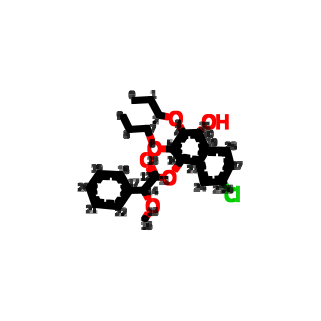 CCCOc1c(OCCC)c(OC(=O)C(OC)c2ccccc2)c2cc(Cl)ccc2c1O